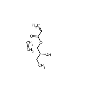 C=C.C=CC(=O)OCC(O)CC